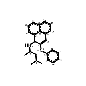 CC(C)CC(C)NC1C(Nc2ccccc2)=Cc2cccc3cccc1c23